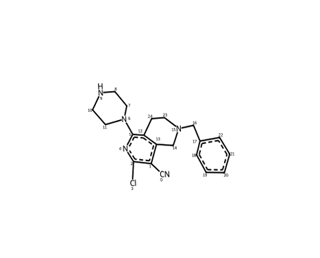 N#Cc1c(Cl)nc(N2CCNCC2)c2c1CN(Cc1ccccc1)CC2